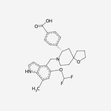 Cc1cc(OC(F)F)c(CN2CCC3(CCCO3)C[C@H]2c2ccc(C(=O)O)cc2)c2cc[nH]c12